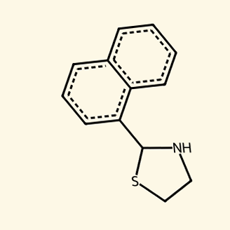 c1ccc2c(C3NCCS3)cccc2c1